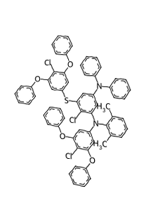 Cc1cccc(C)c1N(c1cc(Oc2ccccc2)c(Cl)c(Oc2ccccc2)c1)c1cc(N(c2ccccc2)c2ccccc2)cc(Sc2cc(Oc3ccccc3)c(Cl)c(Oc3ccccc3)c2)c1Cl